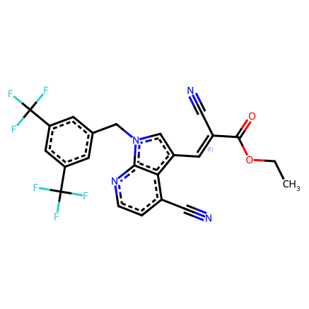 CCOC(=O)/C(C#N)=C/c1cn(Cc2cc(C(F)(F)F)cc(C(F)(F)F)c2)c2nccc(C#N)c12